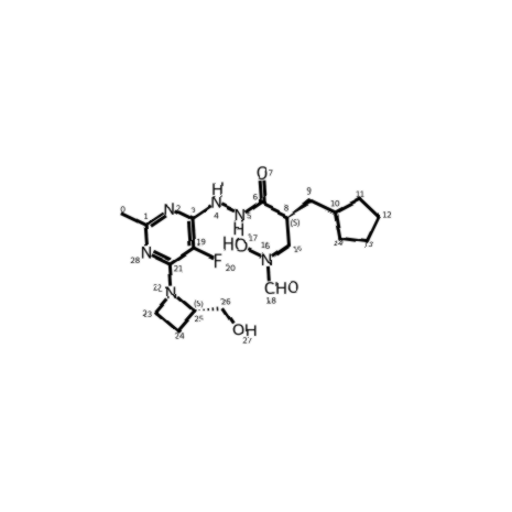 Cc1nc(NNC(=O)[C@@H](CC2CCCC2)CN(O)C=O)c(F)c(N2CC[C@H]2CO)n1